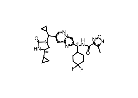 Cc1nonc1C(=O)N[C@H](c1cn2ncc(C(C3CC3)N3C[C@@H](C4CC4)NC3=O)cc2n1)C1CCC(F)(F)CC1